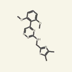 COc1cccc(OC)c1-c1cnnc(NCc2nc(C)c(C)s2)n1